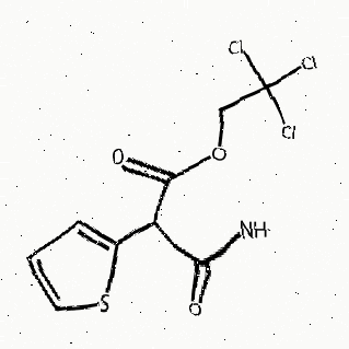 [NH]C(=O)C(C(=O)OCC(Cl)(Cl)Cl)c1cccs1